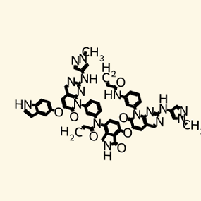 C=CC(=O)Nc1cccc(-n2c(=O)c(Oc3ccc(N(C(=O)C=C)c4cccc(-n5c(=O)c(Oc6ccc7[nH]ccc7c6)cc6cnc(Nc7cnn(C)c7)nc65)c4)c4c3C(=O)NC4)cc3cnc(Nc4cnn(C)c4)nc32)c1